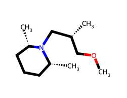 COC[C@@H](C)CN1[C@H](C)CCC[C@@H]1C